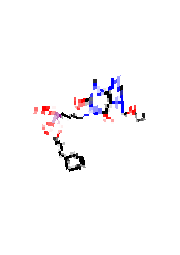 CCOCn1cnc2c1c(=O)n(CCCCP(=O)(O)OCCCc1ccccc1)c(=O)n2C